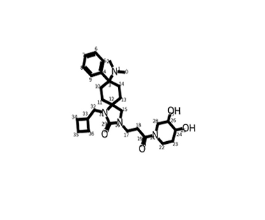 CN(C)C1(c2ccccc2)CCC2(CC1)CN(CCC(=O)N1CCC(O)C(O)C1)C(=O)N2CC1CCC1